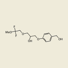 COC(F)(F)COCC(O)COc1ccc(CO)cc1